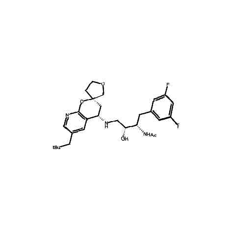 CC(=O)N[C@@H](Cc1cc(F)cc(F)c1)[C@H](O)CN[C@H]1C[C@@]2(CCOC2)Oc2ncc(CC(C)(C)C)cc21